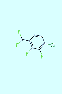 F[C](F)c1ccc(Cl)c(F)c1F